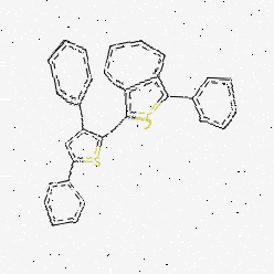 c1ccc(-c2cc(-c3ccccc3)c(-c3sc(-c4ccccc4)c4ccccc34)s2)cc1